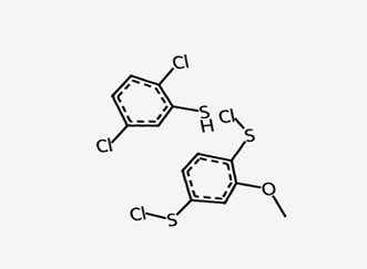 COc1cc(SCl)ccc1SCl.Sc1cc(Cl)ccc1Cl